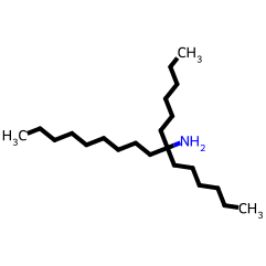 CCCCCCCCCC(N)(CCCCCC)CCCCCC